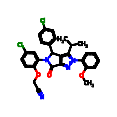 COc1ccccc1-n1nc2c(c1C(C)C)C(c1ccc(Cl)cc1)N(c1cc(Cl)ccc1OCC#N)C2=O